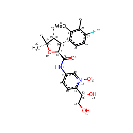 COc1c([C@@H]2[C@@H](C(=O)Nc3ccc([C@H](O)CO)[n+]([O-])c3)O[C@](C)(C(F)(F)F)[C@@H]2C)ccc(F)c1C